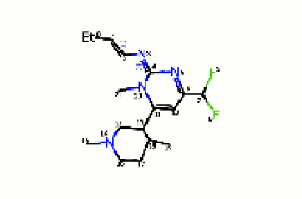 CC/C=C/N=c1/nc(C(F)F)cc(C2CN(C)CCC2C)n1C